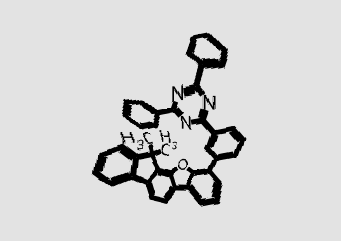 CC1(C)c2ccccc2-c2ccc3c(oc4c(-c5cccc(-c6nc(-c7ccccc7)nc(-c7ccccc7)n6)c5)cccc43)c21